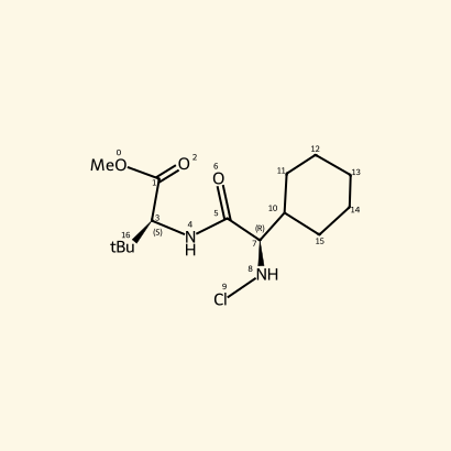 COC(=O)[C@@H](NC(=O)[C@H](NCl)C1CCCCC1)C(C)(C)C